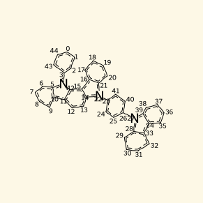 c1ccc(-n2c3ccccc3c3ccc4c(c5ccccc5n4-c4ccc(-n5c6ccccc6c6ccccc65)cc4)c32)cc1